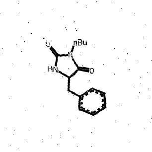 CCCCN1C(=O)NC(Cc2ccccc2)C1=O